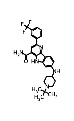 CC(C)(C)N1CCC(Nc2ccc3c(c2)[nH]c2c(C(N)=O)cc(-c4cccc(C(F)(F)F)c4)nc23)CC1